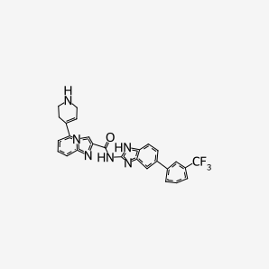 O=C(Nc1nc2cc(-c3cccc(C(F)(F)F)c3)ccc2[nH]1)c1cn2c(C3=CCNCC3)cccc2n1